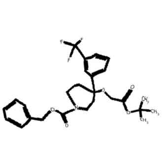 CC(C)(C)OC(=O)COC1(c2cccc(C(F)(F)F)c2)CCN(C(=O)OCc2ccccc2)CC1